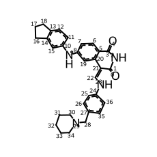 O=C1NC(=O)c2ccc(Nc3ccc4c(c3)CCC4)cc2C1=CNc1ccc(CN2CCCCC2)cc1